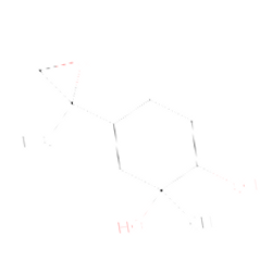 CC1(O)CC(C2(C)CO2)CCC1O